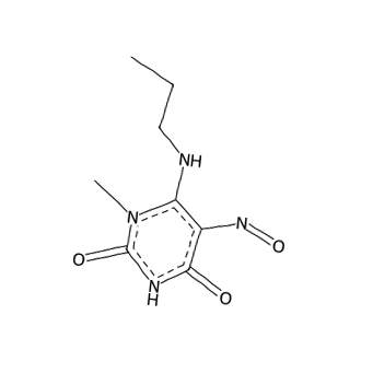 CCCNc1c(N=O)c(=O)[nH]c(=O)n1C